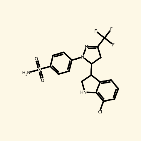 NS(=O)(=O)c1ccc(N2N=C(C(F)(F)F)CC2C2CNc3c(Cl)cccc32)cc1